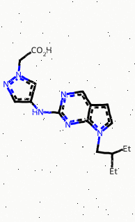 CCC(CC)Cn1ccc2cnc(Nc3cnn(CC(=O)O)c3)nc21